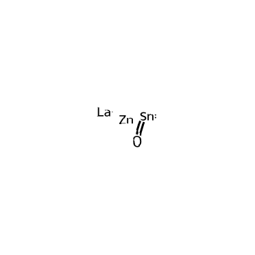 [La].[O]=[Sn].[Zn]